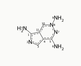 Nc1ncc2c(N)nn(N)cc1-2